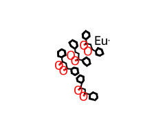 O=C(CC(=O)c1ccccc1)c1ccccc1.O=C(CC(=O)c1ccccc1)c1ccccc1.O=C(CC(=O)c1ccccc1)c1ccccc1.O=C(CC(=O)c1ccccc1)c1ccccc1.[Eu]